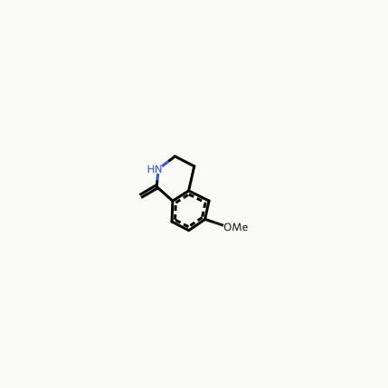 C=C1NCCc2cc(OC)ccc21